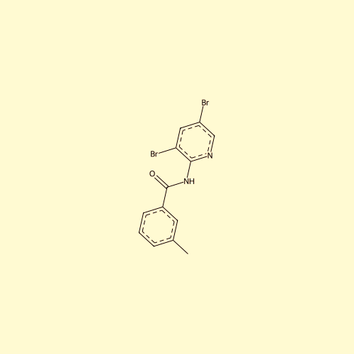 Cc1cccc(C(=O)Nc2ncc(Br)cc2Br)c1